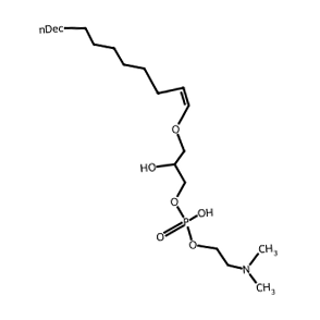 CCCCCCCCCCCCCCCC/C=C\OCC(O)COP(=O)(O)OCCN(C)C